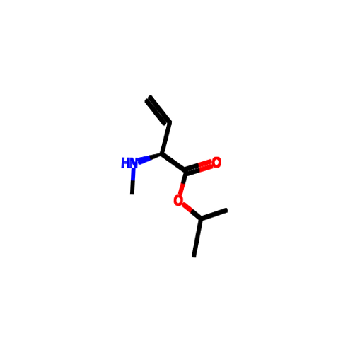 C=C[C@H](NC)C(=O)OC(C)C